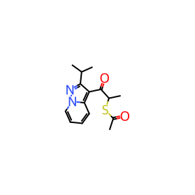 CC(=O)SC(C)C(=O)c1c(C(C)C)nn2ccccc12